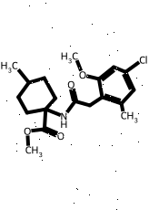 COC(=O)C1(NC(=O)Cc2c(C)cc(Cl)cc2OC)CCC(C)CC1